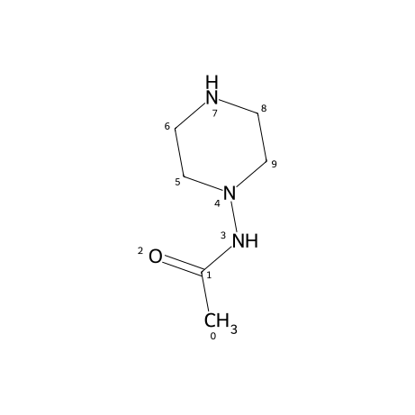 CC(=O)NN1CCNCC1